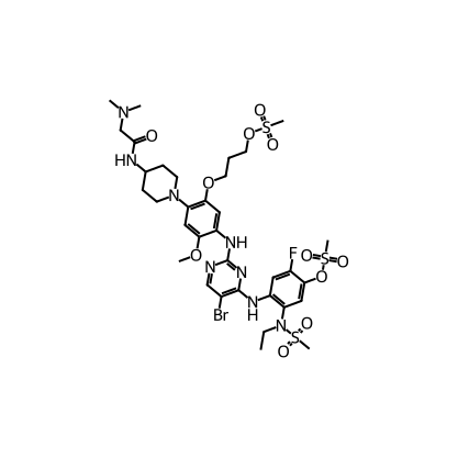 CCN(c1cc(OS(C)(=O)=O)c(F)cc1Nc1nc(Nc2cc(OCCCOS(C)(=O)=O)c(N3CCC(NC(=O)CN(C)C)CC3)cc2OC)ncc1Br)S(C)(=O)=O